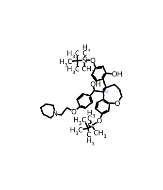 CC(C)(C)[Si](C)(C)Oc1ccc(/C2=C(\C(O)c3ccc(OCCN4CCCCC4)cc3)c3ccc(O[Si](C)(C)C(C)(C)C)cc3OCCC2)c(O)c1